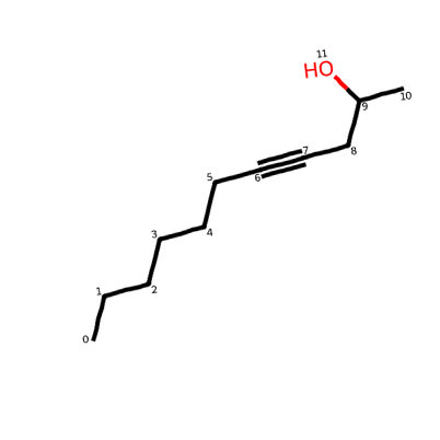 CCCCCCC#CCC(C)O